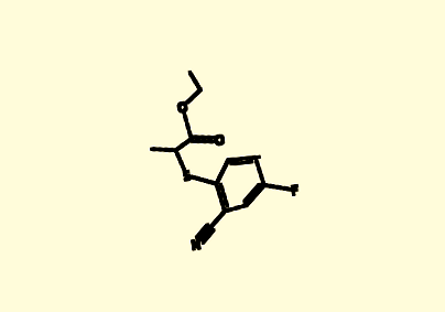 CCOC(=O)C(C)Sc1c[c]c(F)cc1C#N